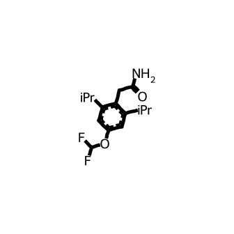 CC(C)c1cc(OC(F)F)cc(C(C)C)c1CC(N)=O